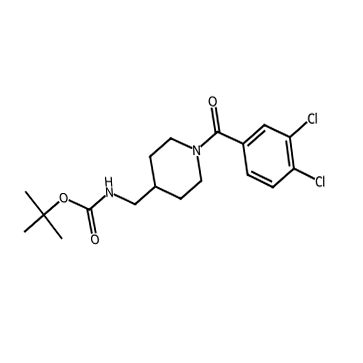 CC(C)(C)OC(=O)NCC1CCN(C(=O)c2ccc(Cl)c(Cl)c2)CC1